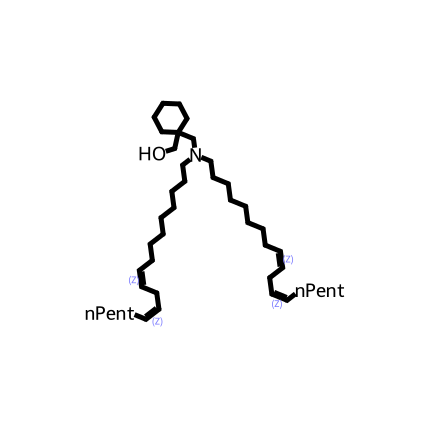 CCCCC/C=C\C/C=C\CCCCCCCCN(CCCCCCCC/C=C\C/C=C\CCCCC)CC1(CO)CCCCC1